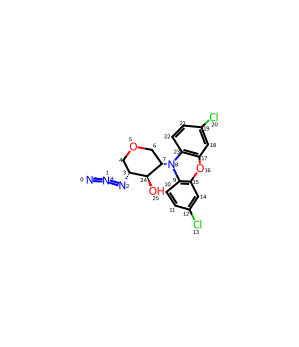 [N-]=[N+]=N[C@@H]1COC[C@H](N2c3ccc(Cl)cc3Oc3cc(Cl)ccc32)[C@H]1O